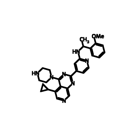 COc1ccccc1C(C)Nc1cc(-c2nc(N3CCNCC3)c3c(C4CC4)cncc3n2)ccn1